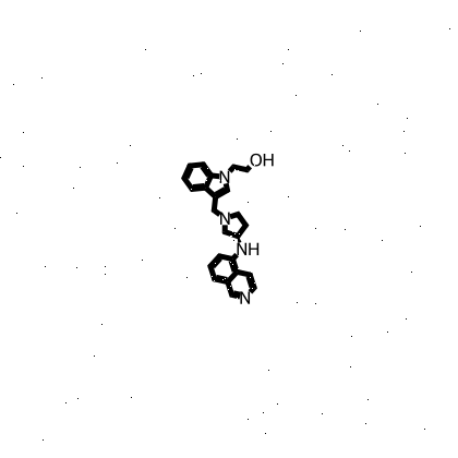 OCCn1cc(CN2CC[C@@H](Nc3cccc4cnccc34)C2)c2ccccc21